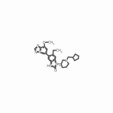 CCc1cc2c(cc1-c1cc(OC)c3ncnn3c1)[nH]c(=O)n2[C@@H]1CCCN(CC2CCCC2)C1